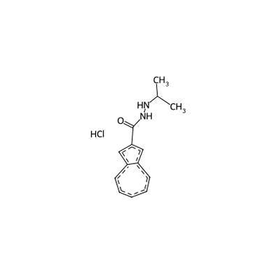 CC(C)NNC(=O)c1cc2cccccc-2c1.Cl